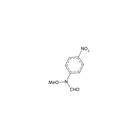 CON(C=O)c1ccc([N+](=O)[O-])cc1